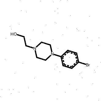 OCCN1CCN(c2ccc(Br)cc2)CC1